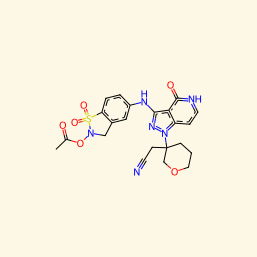 CC(=O)ON1Cc2cc(Nc3nn(C4(CC#N)CCCOC4)c4cc[nH]c(=O)c34)ccc2S1(=O)=O